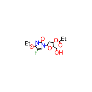 CCOc1nc(=O)n(C2CC(OC(=O)CC)C(CO)O2)cc1F